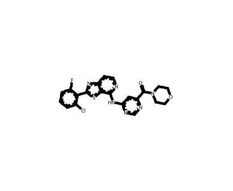 O=C(c1cc(Nc2nccc3nc(-c4c(F)cccc4Cl)sc23)ncn1)N1CCOCC1